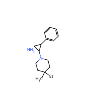 CCC1(C)CCN(C2CC2c2ccccc2)CC1.N